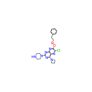 Clc1nc2c(N3CCC3)nc(N3CCNCC3)nc2nc1OOCCc1ccccc1